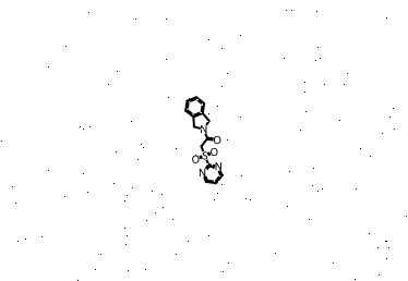 O=C(CS(=O)(=O)c1ncccn1)N1Cc2ccccc2C1